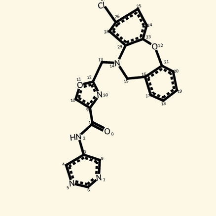 O=C(Nc1cncnc1)c1coc(CN2Cc3ccccc3Oc3ccc(Cl)cc32)n1